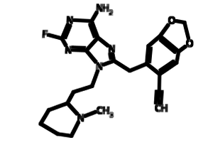 C#Cc1cc2c(cc1Cc1nc3c(N)nc(F)nc3n1CCC1CCCCN1C)OCO2